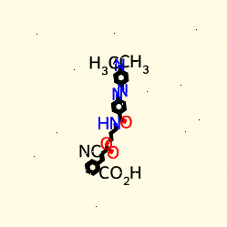 CN(C)c1ccc(/N=N/c2ccc(C(=O)NCCCOC(=O)/C(C#N)=C/c3ccccc3C(=O)O)cc2)cc1